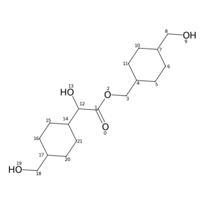 O=C(OCC1CCC(CO)CC1)C(O)C1CCC(CO)CC1